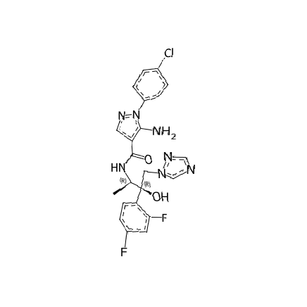 C[C@@H](NC(=O)c1cnn(-c2ccc(Cl)cc2)c1N)[C@](O)(Cn1cncn1)c1ccc(F)cc1F